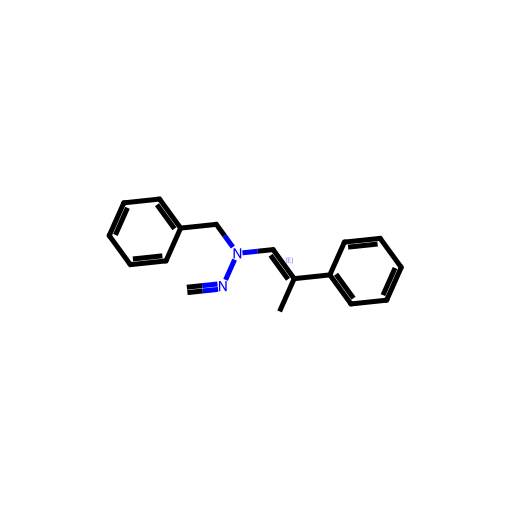 C=NN(/C=C(\C)c1ccccc1)Cc1ccccc1